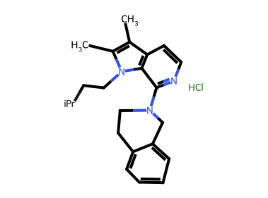 Cc1c(C)n(CCC(C)C)c2c(N3CCc4ccccc4C3)nccc12.Cl